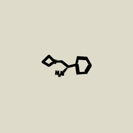 N[C@H](CN1CCC1)c1ccccc1